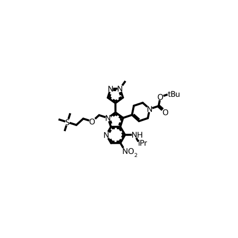 CC(C)Nc1c([N+](=O)[O-])cnc2c1c(C1=CCN(C(=O)OC(C)(C)C)CC1)c(-c1cnn(C)c1)n2COCCS(C)(C)C